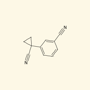 N#Cc1c[c]cc(C2(C#N)CC2)c1